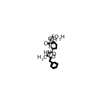 CN(NC(=O)[C@@H]1CC[C@@H]2CN1C(=O)N2OS(=O)(=O)O)C(=O)Cc1ccccc1